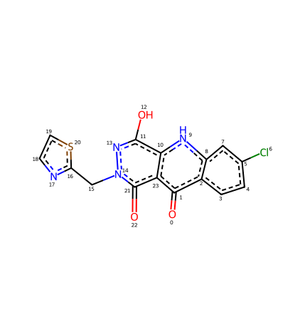 O=c1c2ccc(Cl)cc2[nH]c2c(O)nn(Cc3nccs3)c(=O)c12